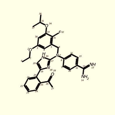 CCOc1cc(CN(c2ccc(C(=N)N)cc2)c2nc(-c3ccccc3C(C)=O)c[nH]2)c(F)c(OC(C)C)c1